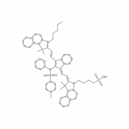 CCCCC[N+]1=C(/C=C/C2=C(N(c3ccccc3)S(=O)(=O)c3ccc(C)cc3)C(=C/C=C3/N(CCCCS(=O)(=O)O)c4ccc5ccccc5c4C3(C)C)/c3ccccc32)C(C)(C)c2c1ccc1ccccc21